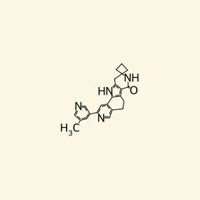 Cc1cncc(-c2cc3c(cn2)CCc2c-3[nH]c3c2C(=O)NC2(CCC2)C3)c1